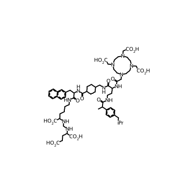 CC(C)Cc1ccc(C(C)C(=O)NCCC(NC(=O)CN2CCN(CC(=O)O)CCN(CC(=O)O)CCN(CC(=O)O)CC2)C(=O)NCC2CCC(C(=O)NC(Cc3ccc4ccccc4c3)C(=O)NCCCCC(NCNC(CCC(=O)O)C(=O)O)C(=O)O)CC2)cc1